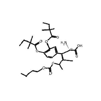 CCCCOC(=O)OC(C)C(C)C(c1ccc(OC(=O)C(C)(C)CC)c(OC(=O)C(C)(C)CC)c1)[C@H](N)C(=O)O